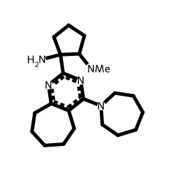 CNC1CCCC1(N)c1nc2c(c(N3CCCCCC3)n1)CCCCC2